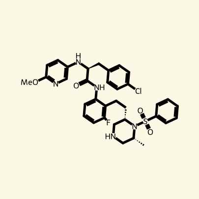 COc1ccc(N[C@@H](Cc2ccc(Cl)cc2)C(=O)Nc2cccc(F)c2CC[C@H]2CNC[C@@H](C)N2S(=O)(=O)c2ccccc2)cn1